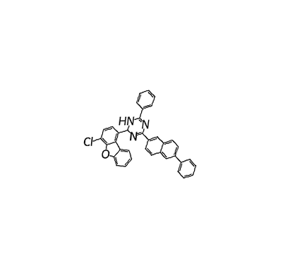 Clc1ccc(C2N=C(c3ccc4cc(-c5ccccc5)ccc4c3)N=C(c3ccccc3)N2)c2c1oc1ccccc12